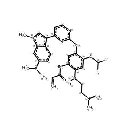 C=CC(=O)Nc1cc(Nc2nccc(-c3cn(C)c4cc(P(C)C)ccc34)n2)c(OC(F)F)cc1N(C)CCN(C)C